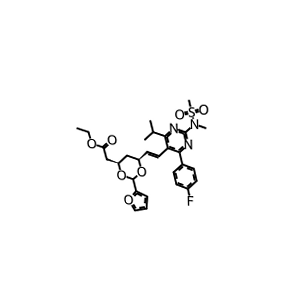 CCOC(=O)C[C@H]1C[C@@H](/C=C/c2c(-c3ccc(F)cc3)nc(N(C)S(C)(=O)=O)nc2C(C)C)OC(c2ccco2)O1